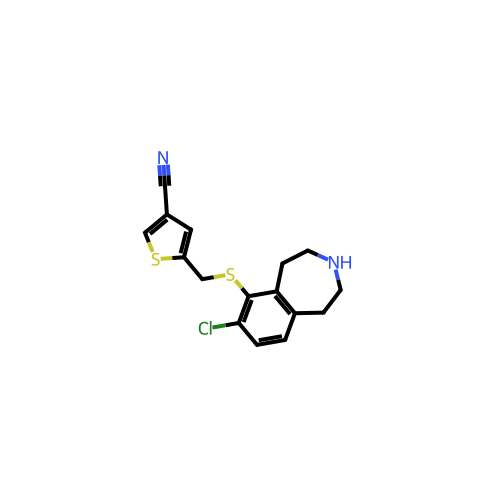 N#Cc1csc(CSc2c(Cl)ccc3c2CCNCC3)c1